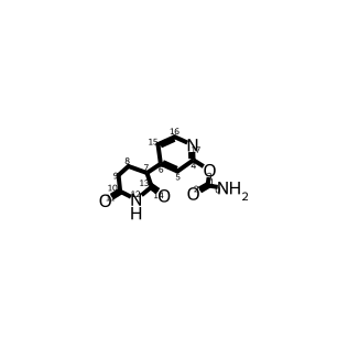 NC(=O)Oc1cc(C2CCC(=O)NC2=O)ccn1